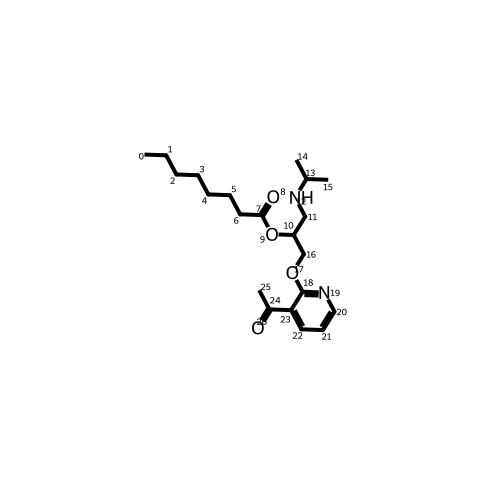 CCCCCCCC(=O)OC(CNC(C)C)COc1ncccc1C(C)=O